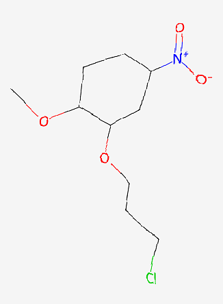 COC1CCC([N+](=O)[O-])CC1OCCCCl